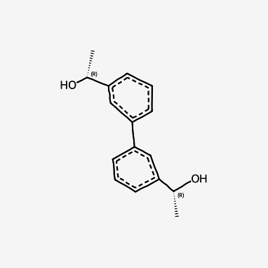 C[C@@H](O)c1cccc(-c2cccc([C@@H](C)O)c2)c1